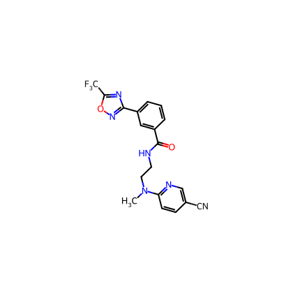 CN(CCNC(=O)c1cccc(-c2noc(C(F)(F)F)n2)c1)c1ccc(C#N)cn1